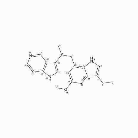 CCc1c[nH]c2c(CC(C)c3c[nH]c4ccncc34)cc(OC)cc12